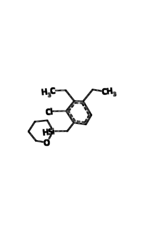 CCc1ccc(C[SiH]2CCCCO2)c(Cl)c1CC